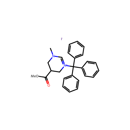 COC(=O)C1CN(C)C=[N+](C(c2ccccc2)(c2ccccc2)c2ccccc2)C1.[I-]